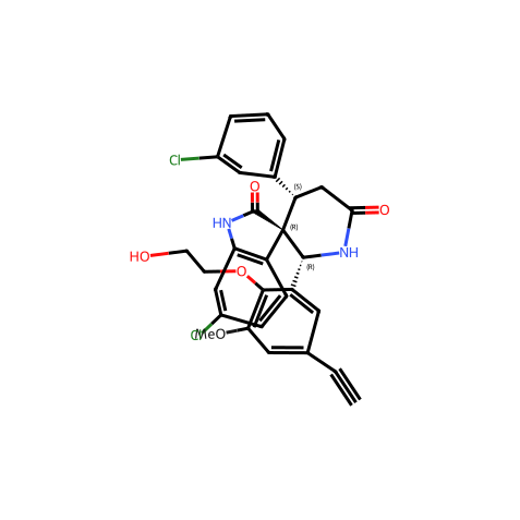 C#Cc1cc(OC)c(OCCO)c([C@H]2NC(=O)C[C@@H](c3cccc(Cl)c3)[C@]23C(=O)Nc2cc(Cl)ccc23)c1